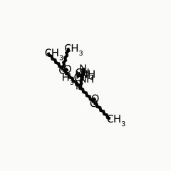 CCCCCCCCCOC(=O)CCCCCCCN(CCCCCCCC(=O)OC(CCCCCCCC)CCCCCCCC)CCNC(NC#N)N(C)C